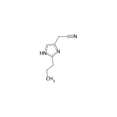 CCCc1nc(CC#N)c[nH]1